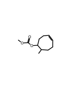 COC(=O)OC1CCC=CCCC1C